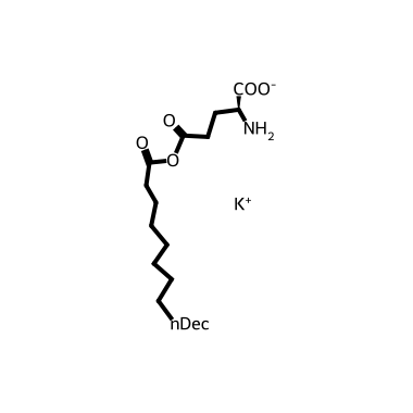 CCCCCCCCCCCCCCCCCC(=O)OC(=O)CC[C@H](N)C(=O)[O-].[K+]